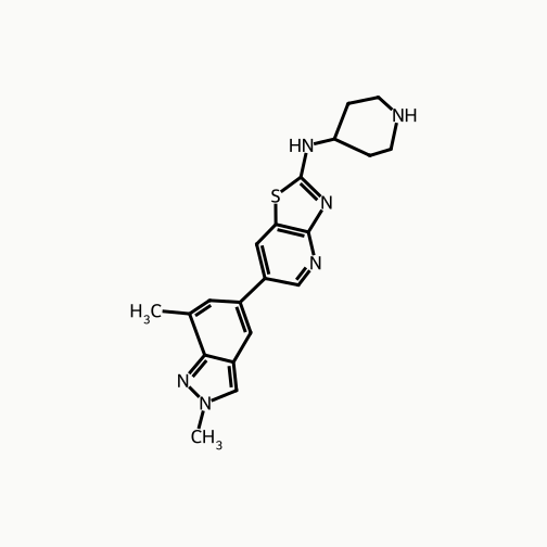 Cc1cc(-c2cnc3nc(NC4CCNCC4)sc3c2)cc2cn(C)nc12